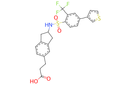 O=C(O)CCc1ccc2c(c1)CC(NS(=O)(=O)c1ccc(-c3ccsc3)cc1C(F)(F)F)C2